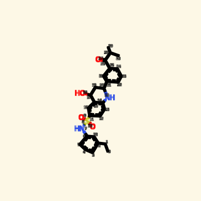 CCc1cccc(NS(=O)(=O)c2ccc3c(c2)C(O)CC(c2cccc(C(=O)C(C)C)c2)N3)c1